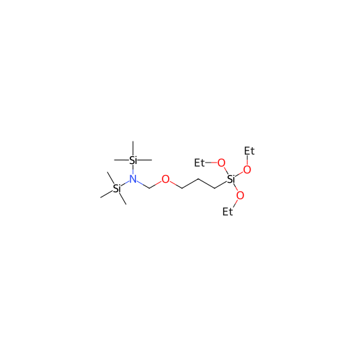 CCO[Si](CCCOCN([Si](C)(C)C)[Si](C)(C)C)(OCC)OCC